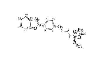 CCO[Si](CCCOc1ccc(-c2nc3ccccc3o2)cc1)(OCC)OCC